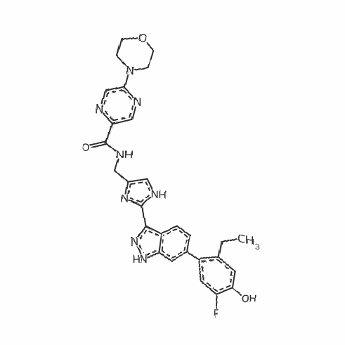 CCc1cc(O)c(F)cc1-c1ccc2c(-c3nc(CNC(=O)c4cnc(N5CCOCC5)cn4)c[nH]3)n[nH]c2c1